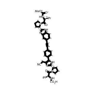 COC(=O)N[C@H](C(=O)N1CCC[C@H]1c1nc2cc(C#Cc3ccc(-c4[nH]c([C@@H]5CCCN5C(=O)[C@@H](NC(=O)O)C(C)C)nc4CC#N)cc3)ccc2[nH]1)C(C)C